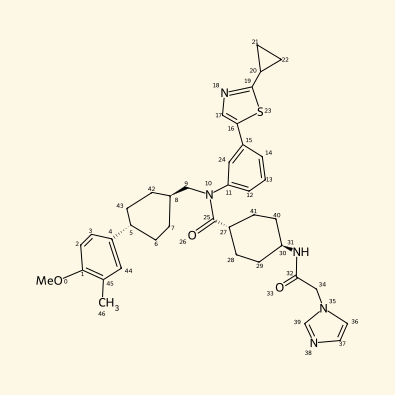 COc1ccc([C@H]2CC[C@H](CN(c3cccc(-c4cnc(C5CC5)s4)c3)C(=O)[C@H]3CC[C@H](NC(=O)Cn4ccnc4)CC3)CC2)cc1C